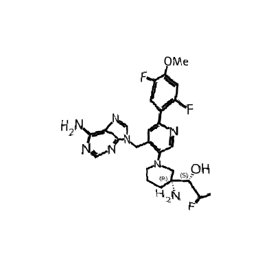 COc1cc(F)c(-c2cc(Cn3cnc4c(N)ncnc43)c(N3CCC[C@](N)([C@H](O)C(C)F)C3)cn2)cc1F